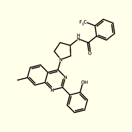 Cc1ccc2c(N3CCC(NC(=O)c4ccccc4C(F)(F)F)C3)nc(-c3ccccc3O)nc2c1